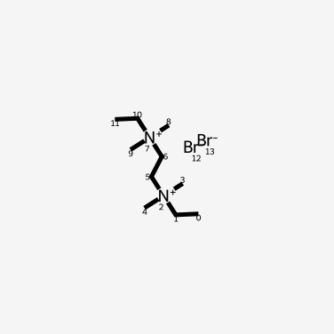 CC[N+](C)(C)CC[N+](C)(C)CC.[Br-].[Br-]